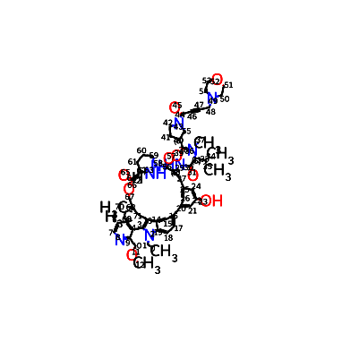 CCn1c(-c2cccnc2COC)c2c3cc(ccc31)-c1cc(O)cc(c1)C[C@H](NC(=O)[C@H](C(C)C)N(C)C(=O)[C@H]1CCN(C(=O)C#CCN3CCOCC3)C1)C(=O)N1CCC[C@H](N1)C(=O)OCC(C)(C)C2